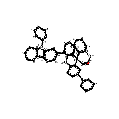 c1ccc(-c2ccc3c(c2)C2(c4ccccc4Oc4ccccc42)c2cccc(-c4ccc5c6ccccc6n(-c6ccccc6)c5c4)c2O3)cc1